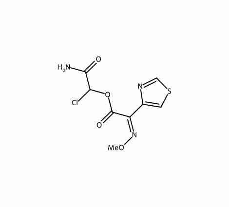 CON=C(C(=O)OC(Cl)C(N)=O)c1cscn1